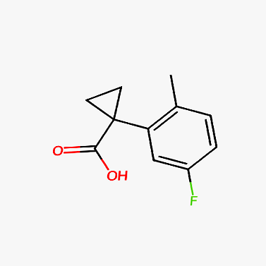 Cc1ccc(F)cc1C1(C(=O)O)CC1